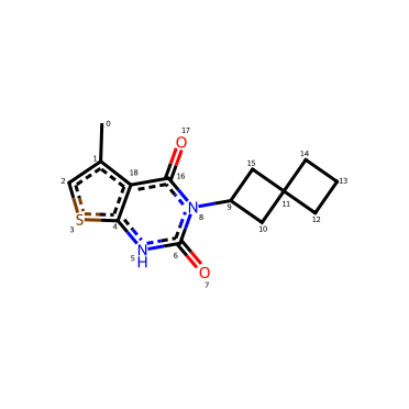 Cc1csc2[nH]c(=O)n(C3CC4(CCC4)C3)c(=O)c12